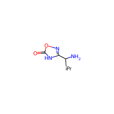 CC(C)C(N)c1noc(=O)[nH]1